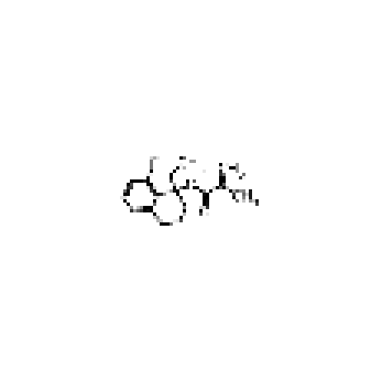 C=C(C)C(=O)OC1(CC)CCCc2cccc(F)c21